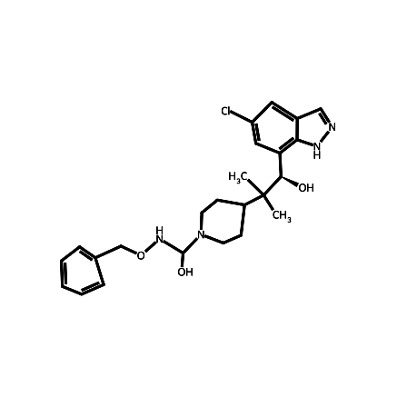 CC(C)(C1CCN(C(O)NOCc2ccccc2)CC1)[C@H](O)c1cc(Cl)cc2cn[nH]c12